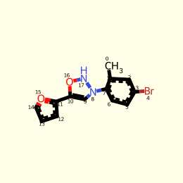 Cc1cc(Br)ccc1N1C=C(c2ccco2)ON1